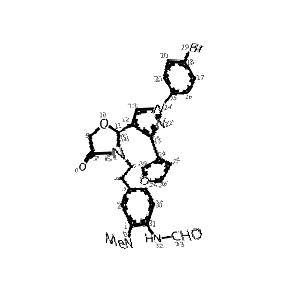 CNc1cc(CCN2C(=O)CO[C@H]2c2cn(-c3ccc(Br)cc3)nc2-c2ccoc2)ccc1NC=O